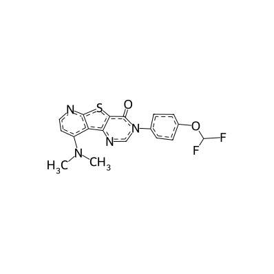 CN(C)c1ccnc2sc3c(=O)n(-c4ccc(OC(F)F)cc4)cnc3c12